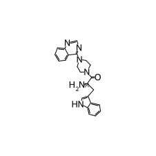 N[C@H](Cc1c[nH]c2ccccc12)C(=O)N1CCN(c2ncnc3ccccc23)CC1